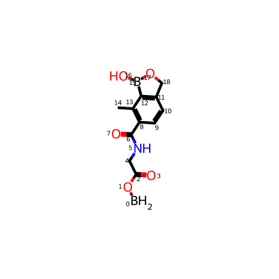 BOC(=O)CNC(=O)c1ccc2c(c1C)B(O)OC2